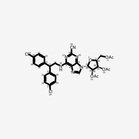 CC(=O)OC[C@@H]1O[C@@H](n2cnc3c(NCC(c4ccc(Cl)cc4)c4ccc(Cl)cc4)nc(C#N)nc32)[C@H](OC(C)=O)[C@@H]1OC(C)=O